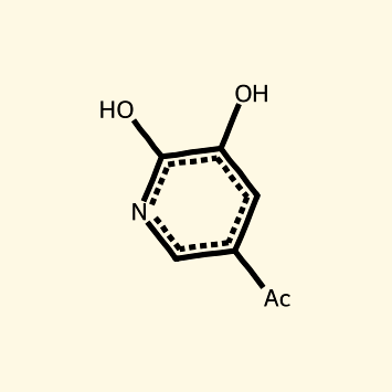 CC(=O)c1cnc(O)c(O)c1